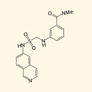 CNC(=O)c1cccc(NCS(=O)(=O)Nc2ccc3cnccc3c2)c1